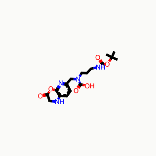 CC(C)(C)OC(=O)NCCCN(Cc1ccc2c(n1)OC(=O)CN2)C(=O)O